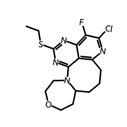 CCSc1nc2c3c(nc(Cl)c(F)c3n1)CCCC1CCOCCN21